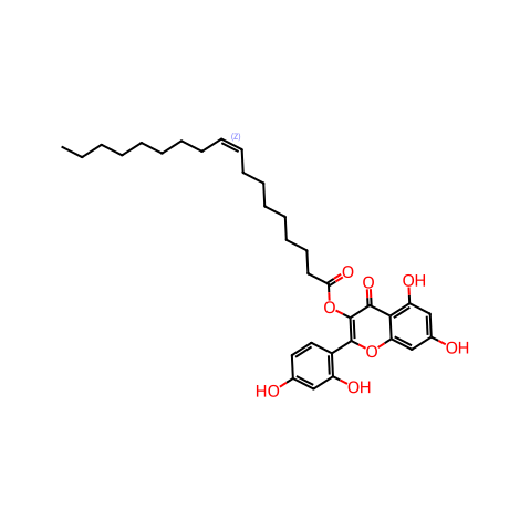 CCCCCCCC/C=C\CCCCCCCC(=O)Oc1c(-c2ccc(O)cc2O)oc2cc(O)cc(O)c2c1=O